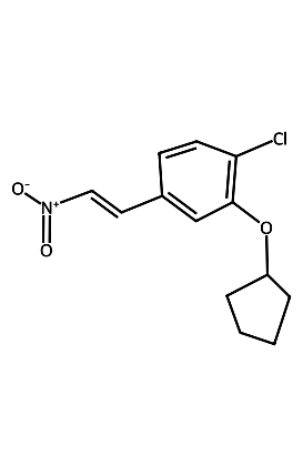 O=[N+]([O-])C=Cc1ccc(Cl)c(OC2CCCC2)c1